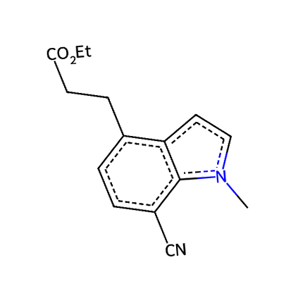 CCOC(=O)CCc1ccc(C#N)c2c1ccn2C